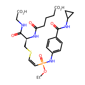 CCOP(=O)(/C=C\SC[C@H](NC(=O)CCCC(=O)O)C(=O)NCC(=O)O)Nc1ccc(C(=O)NC2CC2)cc1